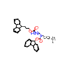 O=C(O)CN(CNC(=O)OCCCC1c2ccccc2-c2ccccc21)C(=O)OC1c2ccccc2-c2ccccc21